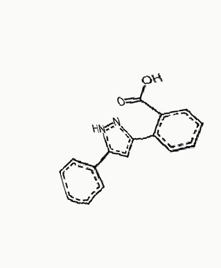 O=C(O)c1ccccc1-c1cc(-c2ccccc2)[nH]n1